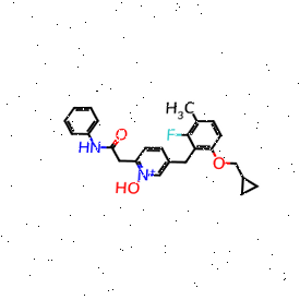 Cc1ccc(OCC2CC2)c(Cc2ccc(CC(=O)Nc3ccccc3)[n+](O)c2)c1F